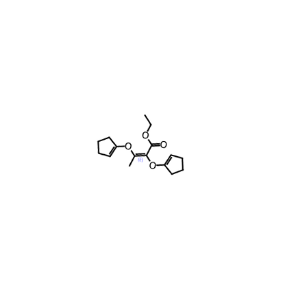 CCOC(=O)/C(OC1=CCCC1)=C(/C)OC1=CCCC1